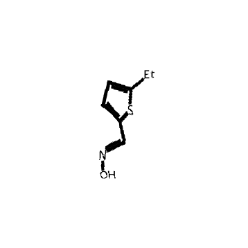 CCc1ccc(/C=N/O)s1